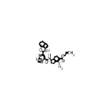 C=CCOC(=O)c1ccc2c(c1C)CC[C@@H]2NC(=O)c1cc(C(=O)N[C@@H]2CCC3C=CC=CC32)nc2ncnn12